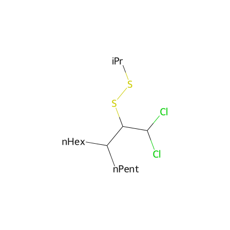 CCCCCCC(CCCCC)C(SSC(C)C)C(Cl)Cl